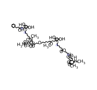 CCN[C@H]1C[C@H](C)S(=O)(=O)c2sc(S(=O)(=O)/N=C/CCOC(=O)CCC/C=C\C[C@@H]3[C@@H](CC[C@H](CCCCCCOCCCN4C[C@H](N(CC)C(=O)CCC/C=C\C[C@@H]5[C@@H](/C=C/[C@@H](O)CCc6ccccc6)[C@H](O)C[C@@H]5O)c5cc(S(N)(=O)=O)sc5S4(=O)=O)OC)[C@H](O)C[C@@H]3O)cc21